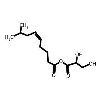 CC(C)C/C=C\CCCC(=O)OC(=O)C(O)CO